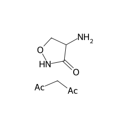 CC(=O)CC(C)=O.NC1CONC1=O